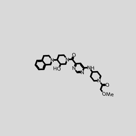 COCC(=O)N1CCC(Nc2cc(C(=O)N3CCC(N4CCc5ccccc5C4)C(O)C3)ncn2)CC1